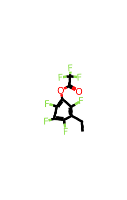 CCc1c(F)c(F)c(F)c(OC(=O)C(F)(F)F)c1F